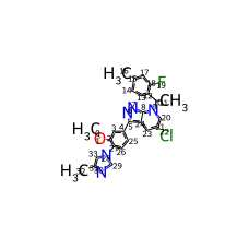 COc1cc(-c2nnc3n(C(C)c4ccc(C)cc4F)cc(Cl)cc2-3)ccc1-n1cnc(C)c1